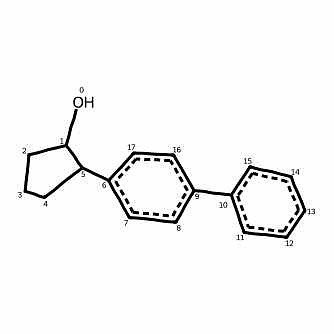 OC1CCCC1c1ccc(-c2ccccc2)cc1